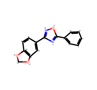 c1ccc(-c2nc(-c3ccc4c(c3)OCO4)no2)cc1